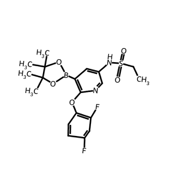 CCS(=O)(=O)Nc1cnc(Oc2ccc(F)cc2F)c(B2OC(C)(C)C(C)(C)O2)c1